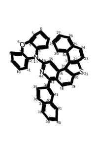 c1ccc2c(c1)Oc1ccccc1N2c1cc2c(ccc3sc4ccc5ccccc5c4c32)c(-c2ccc3ccccc3c2)n1